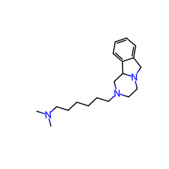 CN(C)CCCCCCN1CCN2Cc3ccccc3C2C1